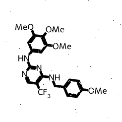 COc1ccc(CNc2nc(Nc3cc(OC)c(OC)c(OC)c3)ncc2C(F)(F)F)cc1